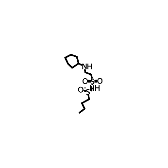 CCCC[S+]([O-])NS(=O)(=O)CCNC1CCCCC1